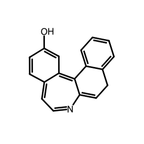 Oc1ccc2c(c1)=C1C(=CCc3ccccc31)N=CC=2